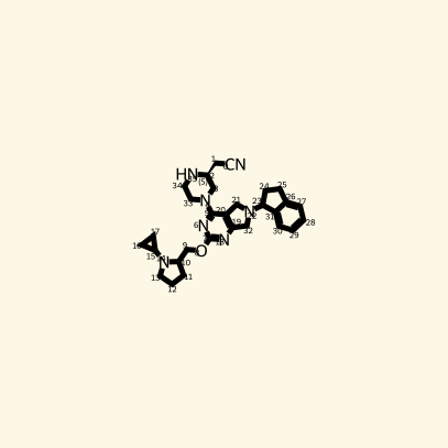 N#CC[C@H]1CN(c2nc(OCC3CCCN3C3CC3)nc3c2CN(C2CCc4ccccc42)C3)CCN1